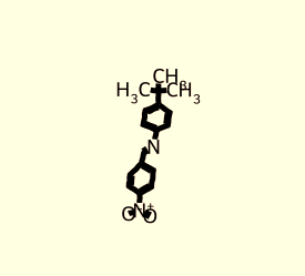 CC(C)(C)c1ccc(N=Cc2ccc([N+](=O)[O-])cc2)cc1